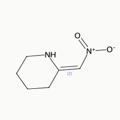 O=[N+]([O-])/C=C1/CCCCN1